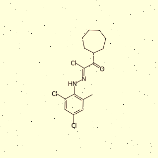 Cc1cc(Cl)cc(Cl)c1NN=C(Cl)C(=O)C1CCCCCC1